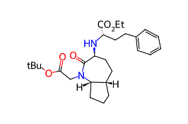 CCOC(=O)[C@H](CCc1ccccc1)N[C@H]1CC[C@@H]2CCC[C@@H]2N(CC(=O)OC(C)(C)C)C1=O